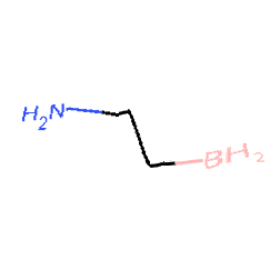 BCCN